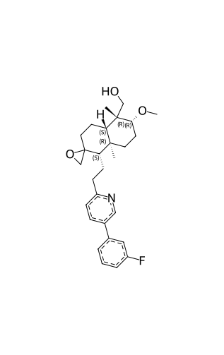 CO[C@@H]1CC[C@]2(C)[C@H](CCC3(CO3)[C@H]2CCc2ccc(-c3cccc(F)c3)cn2)[C@]1(C)CO